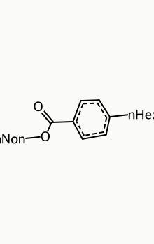 CCCCCCCCCOC(=O)c1ccc(CCCCCC)cc1